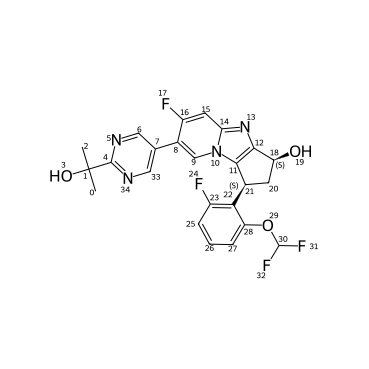 CC(C)(O)c1ncc(-c2cn3c4c(nc3cc2F)[C@@H](O)C[C@H]4c2c(F)cccc2OC(F)F)cn1